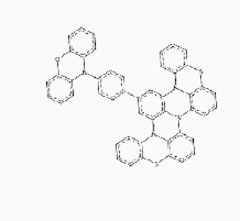 c1ccc2c(c1)Oc1ccccc1N2c1ccc(-c2cc3c4c(c2)N2c5ccccc5Sc5cccc(c52)B4c2cccc4c2N3c2ccccc2S4)cc1